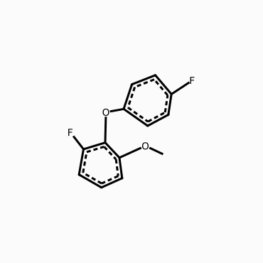 COc1cccc(F)c1Oc1ccc(F)cc1